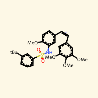 COc1ccc(/C=C\c2cc(OC)c(OC)c(OC)c2)cc1NS(=O)(=O)c1cccc(C(C)(C)C)c1